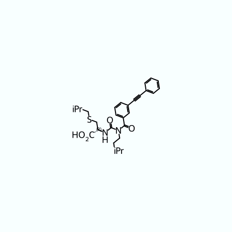 CC(C)CCN(C(=O)N[C@@H](CSCC(C)C)C(=O)O)C(=O)c1cccc(C#Cc2ccccc2)c1